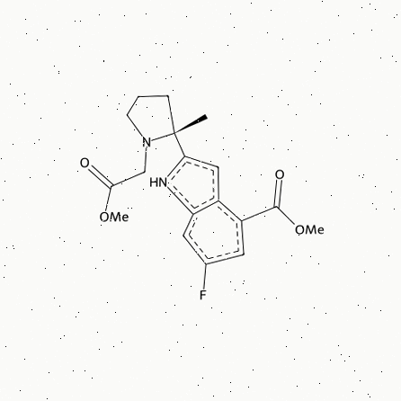 COC(=O)CN1CCC[C@]1(C)c1cc2c(C(=O)OC)cc(F)cc2[nH]1